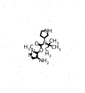 Cn1ncc(N)c1OC(=O)N([C@H]1CCNC1)C(C)(C)C